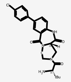 CC(C)(C)[C@H](N)C(=O)N1CCN2C(=O)c3cc(-c4ccc(Cl)cc4)ccc3NC(=O)[C@@H]2C1